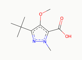 COc1c(C(C)(C)C)nn(C)c1C(=O)O